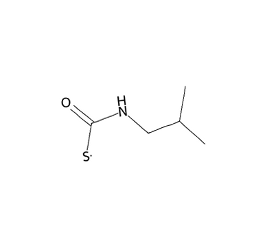 CC(C)CNC(=O)[S]